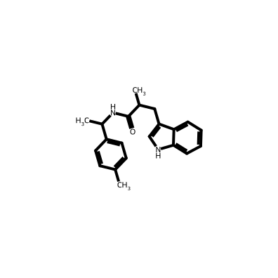 Cc1ccc(C(C)NC(=O)C(C)Cc2c[nH]c3ccccc23)cc1